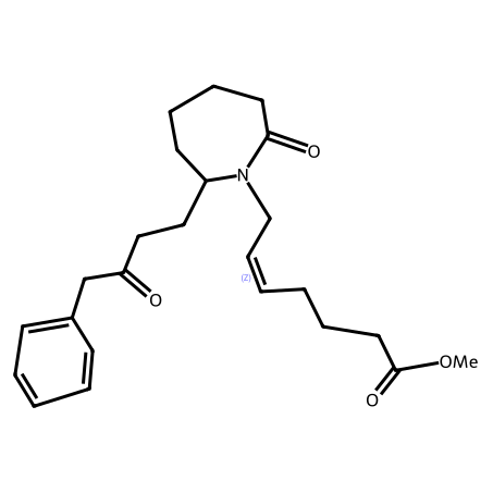 COC(=O)CCC/C=C\CN1C(=O)CCCCC1CCC(=O)Cc1ccccc1